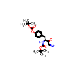 CC(C)(C)OC(=O)N[C@@H](Cc1ccc(OC(=O)OC(C)(C)C)cc1)C(=O)C=N